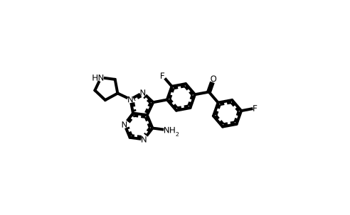 Nc1ncnc2c1c(-c1ccc(C(=O)c3cccc(F)c3)cc1F)nn2C1CCNC1